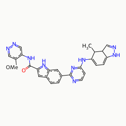 COc1cnncc1NC(=O)c1cc2ccc(-c3nccc(NC4=CC=C5NN=CC5C4C)n3)cc2[nH]1